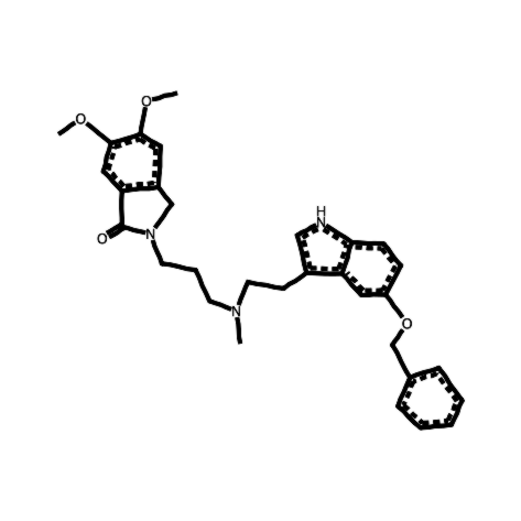 COc1cc2c(cc1OC)C(=O)N(CCCN(C)CCc1c[nH]c3ccc(OCc4ccccc4)cc13)C2